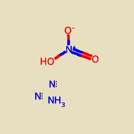 N.O=[N+]([O-])O.[N].[N]